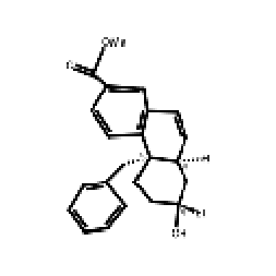 CC[C@@]1(O)CC[C@@]2(Cc3ccccc3)c3ccc(C(=O)OC)cc3C=C[C@H]2C1